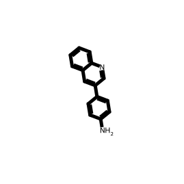 Nc1ccc(-c2cnc3ccccc3c2)cc1